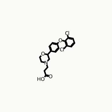 O=C(O)CCN1CCOC(c2ccc(Oc3c(Cl)cccc3Cl)cc2)C1